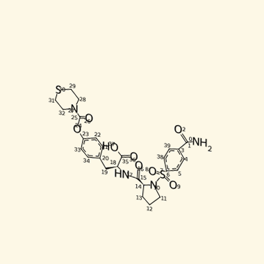 NC(=O)c1ccc(S(=O)(=O)N2CCC[C@H]2C(=O)N[C@@H](Cc2ccc(OC(=O)N3CCSCC3)cc2)C(=O)O)cc1